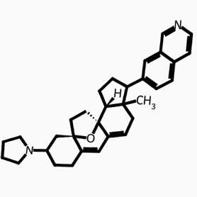 CC12CC=C3C=C4CCC(N5CCCC5)C[C@]45CC[C@]3(O5)[C@@H]1CCC2c1ccc2ccncc2c1